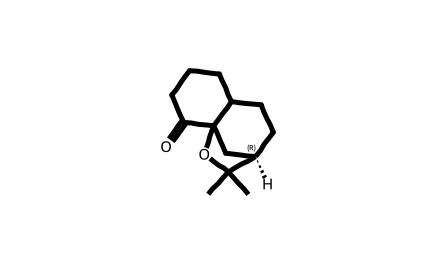 CC1(C)OC23C[C@H]1CCC2CCCC3=O